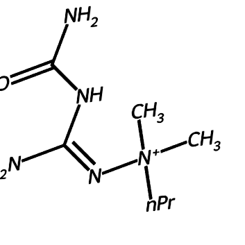 CCC[N+](C)(C)N=C(N)NC(N)=O